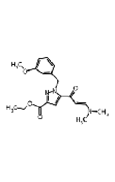 CCOC(=O)c1cc(C(=O)C=CN(C)C)n(Cc2cccc(OC)c2)n1